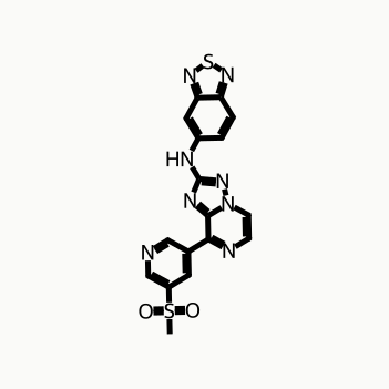 CS(=O)(=O)c1cncc(-c2nccn3nc(Nc4ccc5nsnc5c4)nc23)c1